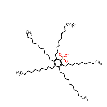 CCCCCCCCCCc1c(CCCCCCCCCC)c(CCCCCCCCCC)c(S(=O)(=O)[O-])c(CCCCCCCCCC)c1CCCCCCCCCC.[K+]